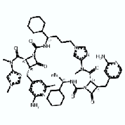 CCCC[C@@H](NC(=O)N1C(=O)[C@H](Cc2ccnc(N)c2)[C@H]1C(=O)N(C)c1cn(CCC[C@@H](NC(=O)N2C(=O)[C@H](Cc3cc(C)nc(N)c3)[C@H]2C(=O)N(C)c2cn(C)cn2)C2CCCCC2)cn1)C1CCCCC1